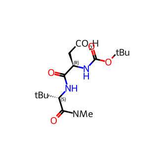 CNC(=O)[C@@H](NC(=O)[C@@H](CC(=O)O)NC(=O)OC(C)(C)C)C(C)(C)C